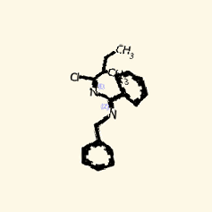 CCC(C)/C(Cl)=N\C(=N/Cc1ccccc1)c1ccccc1